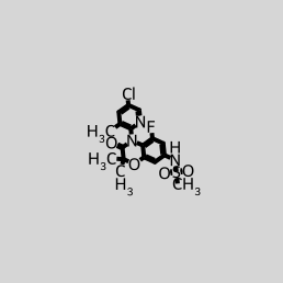 Cc1cc(Cl)cnc1N1C(=O)C(C)(C)Oc2cc(NS(C)(=O)=O)cc(F)c21